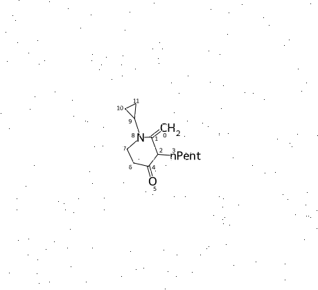 C=C1C(CCCCC)C(=O)CCN1C1CC1